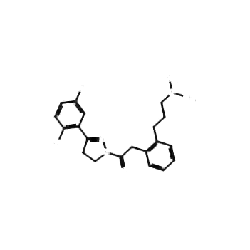 CN(C)CCCc1[c]cccc1CC(=O)N1CCC(c2cc(Cl)ccc2Cl)=N1